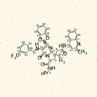 CCCNC(=O)C1CC(C)(CC(=O)Nc2cc(C)nc3ccccc23)c2nc(B3Oc4ccccc4O3)c(NCc3cccc(C(F)(F)F)c3)c(=O)n21